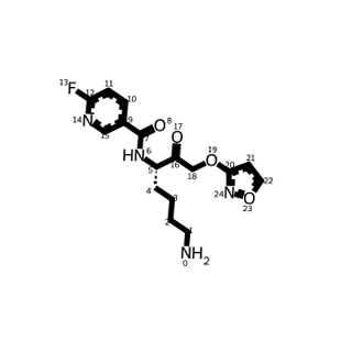 NCCCC[C@H](NC(=O)c1ccc(F)nc1)C(=O)COc1ccon1